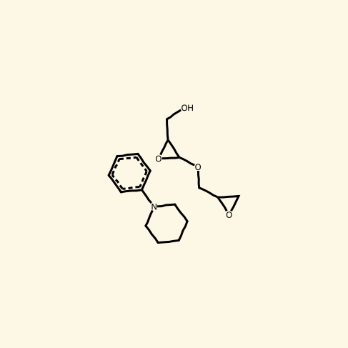 OCC1OC1OCC1CO1.c1ccc(N2CCCCC2)cc1